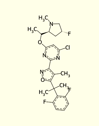 Cc1c(-c2nc(Cl)cc(OC(C)[C@@H]3C[C@@H](F)CN3C)n2)noc1C(C)(C)c1c(F)cccc1F